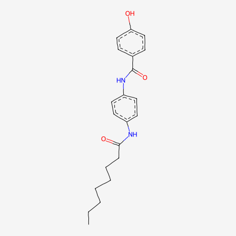 CCCCCCCC(=O)Nc1ccc(NC(=O)c2ccc(O)cc2)cc1